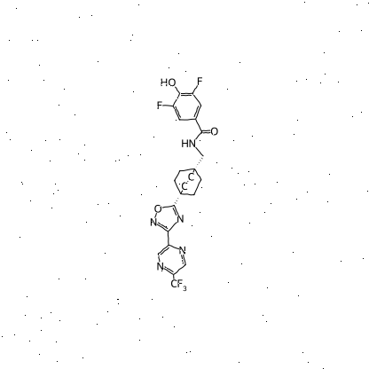 O=C(NC[C@]12CC[C@](c3nc(-c4cnc(C(F)(F)F)cn4)no3)(CC1)CC2)c1cc(F)c(O)c(F)c1